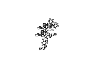 CC(C)(C)OC(=O)NC(Cc1ccc(OC(C)(C)C)cc1)C(C/C=C/C(O[Si](C)(C)C(C)(C)C)C(Cc1ccccc1)C(=O)SCc1ccccc1)O[Si](C)(C)C(C)(C)C